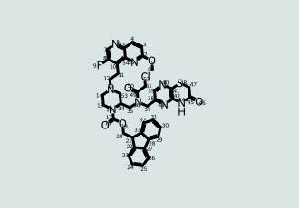 COc1ccc2ncc(F)c(CCN3CCN(C(=O)OCC4c5ccccc5-c5ccccc54)C(CN(Cc4cnc5c(n4)NC(=O)CS5)C(=O)CCl)C3)c2n1